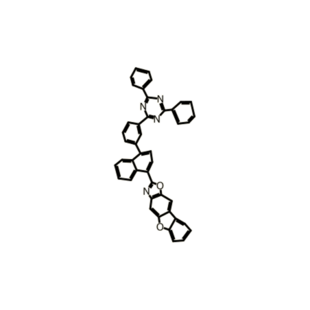 c1ccc(-c2nc(-c3ccccc3)nc(-c3cccc(-c4ccc(-c5nc6cc7oc8ccccc8c7cc6o5)c5ccccc45)c3)n2)cc1